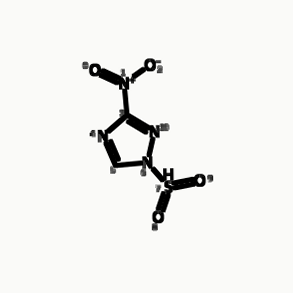 O=[N+]([O-])c1ncn([SH](=O)=O)n1